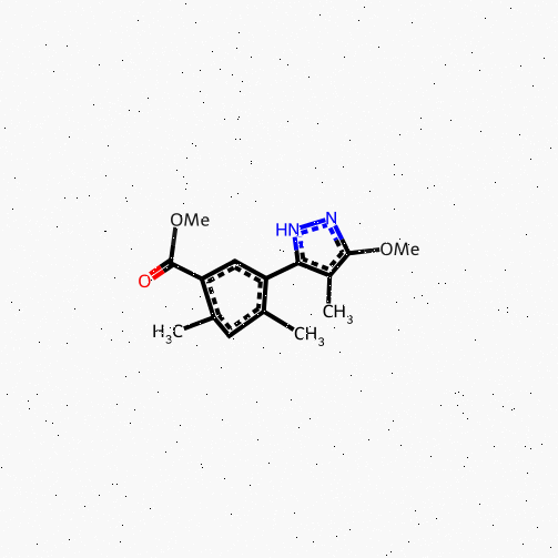 COC(=O)c1cc(-c2[nH]nc(OC)c2C)c(C)cc1C